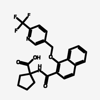 O=C(NC1(C(=O)O)CCCC1)c1ccc2ccccc2c1OCc1ccc(C(F)(F)F)nc1